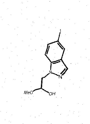 COC(O)Cn1ncc2cc(I)ccc21